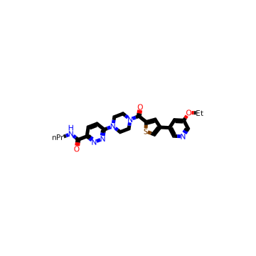 CCCNC(=O)c1ccc(N2CCN(C(=O)c3cc(-c4cncc(OCC)c4)cs3)CC2)nn1